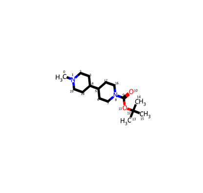 CN1CCC(C2CCN(C(=O)OC(C)(C)C)CC2)CC1